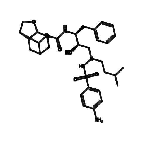 CC(C)CCN(C[C@@H](O)[C@H](Cc1ccccc1)NC(=O)OC1C2COC3OCC1C3C2)NS(=O)(=O)c1ccc(N)cc1